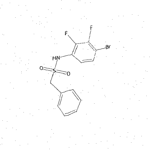 O=S(=O)(Cc1ccccc1)Nc1ccc(Br)c(F)c1F